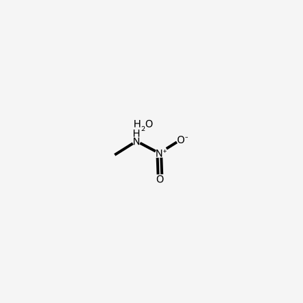 CN[N+](=O)[O-].O